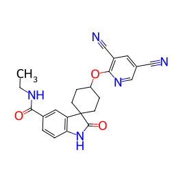 CCNC(=O)c1ccc2c(c1)C1(CCC(Oc3ncc(C#N)cc3C#N)CC1)C(=O)N2